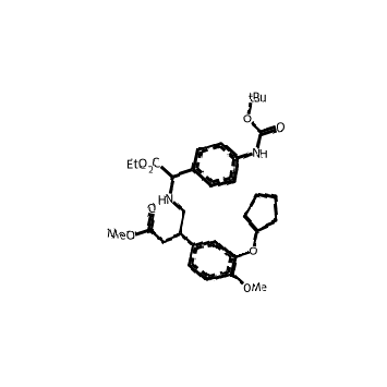 CCOC(=O)C(NCC(CC(=O)OC)c1ccc(OC)c(OC2CCCC2)c1)c1ccc(NC(=O)OC(C)(C)C)cc1